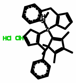 CC1=C(C)C(C)(C)[C]([Zr]([C]2=C(Cc3ccccc3)C=CC2)([C]2=C(Cc3ccccc3)C=CC2)[SiH](C)C)=C1C.Cl.Cl